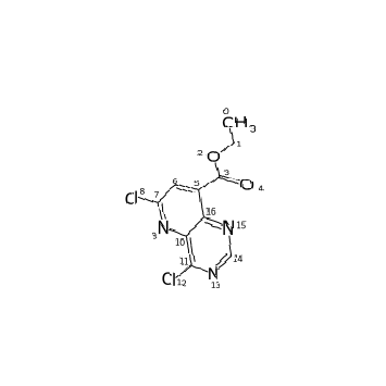 CCOC(=O)c1cc(Cl)nc2c(Cl)ncnc12